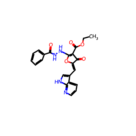 CCOC(=O)C1=C(NNC(=O)c2ccccc2)OC(=Cc2c[nH]c3ncccc23)C1=O